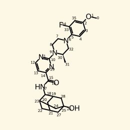 COc1ccc(N2CCN(c3nccc(C(=O)NC4C5CC6CC4CC(O)(C6)C5)n3)[C@H](C)C2)c(F)c1